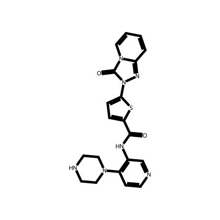 O=C(Nc1cnccc1N1CCNCC1)c1ccc(-n2nc3ccccn3c2=O)s1